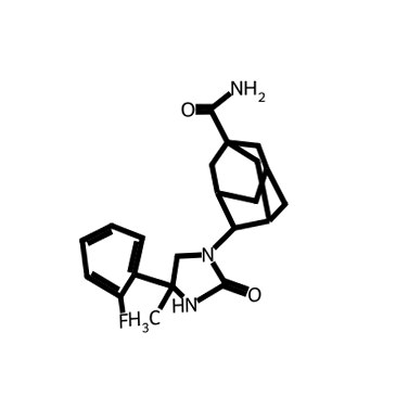 CC1(c2ccccc2F)CN(C2C3CC4CC2CC(C(N)=O)(C4)C3)C(=O)N1